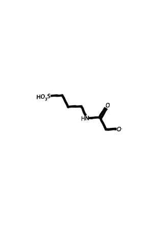 [O]CC(=O)NCCCS(=O)(=O)O